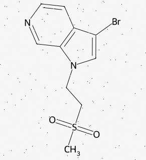 CS(=O)(=O)CCn1cc(Br)c2ccncc21